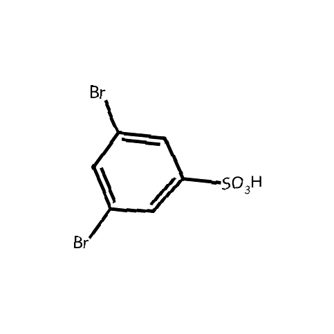 O=S(=O)(O)c1cc(Br)cc(Br)c1